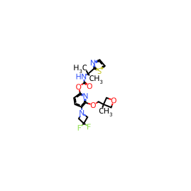 CC1(COc2nc(OC(=O)NC(C)(C)c3nccs3)ccc2N2CC(F)(F)C2)COC1